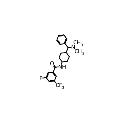 CN(C)C(c1ccccc1)C1CCC(NC(=O)c2cc(F)cc(C(F)(F)F)c2)CC1